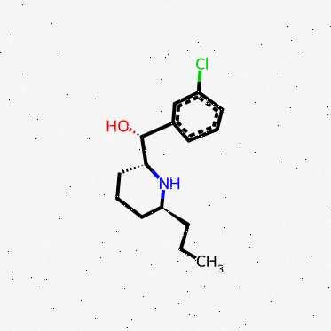 CCC[C@H]1CCC[C@H]([C@H](O)c2cccc(Cl)c2)N1